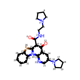 O=C(NCCN1CCCC1)c1c(=O)c2cc(N3CCCC3)cnc2n2c1sc1ccccc12